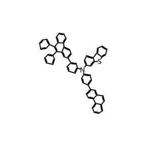 c1ccc(-c2c(-c3ccccc3)c3cc(-c4cccc(N(c5ccc(-c6ccc7c(ccc8ccccc87)c6)cc5)c5ccc6c(c5)sc5ccccc56)c4)ccc3c3ccccc23)cc1